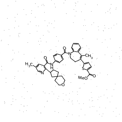 COC(=O)c1ccc(C2=C(C)c3ccccc3N(C(=O)c3ccc(NC(=O)c4cc(C)cnc4C4CCC5(CCOCC5)C4)cc3)CC2)s1